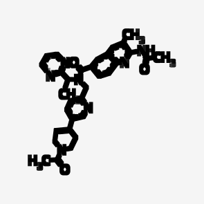 CC(=O)Nc1nc2ccc(C(=O)N(Cc3ccc(C4=CCN(C(C)=O)CC4)cn3)C(C)c3ncccn3)cc2cc1C